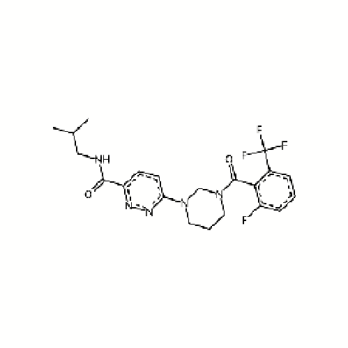 CC(C)CNC(=O)c1ccc(N2CCCN(C(=O)c3c(F)cccc3C(F)(F)F)C2)nn1